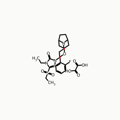 CCn1c(S(=O)(=O)CC)nn(CCCN2C3CCC2CC(OCc2ccccc2F)C3)c1=O.O=C(O)C(=O)O